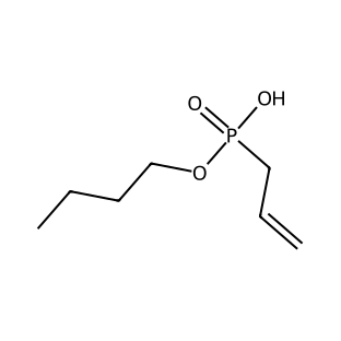 C=CCP(=O)(O)OCCCC